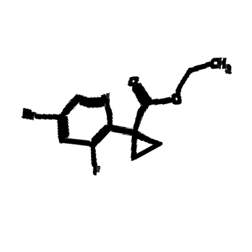 CCOC(=O)C1(c2ncc(Br)cc2F)CC1